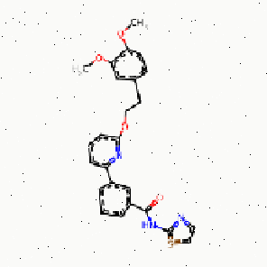 COc1ccc(CCOc2cccc(-c3cccc(C(=O)Nc4nccs4)c3)n2)cc1OC